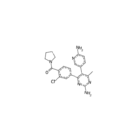 Cc1nc(N)nc(-c2ccc(C(=O)N3CCCC3)c(Cl)c2)c1-c1ccc(N)nc1